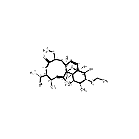 CCN[C@H]1[C@H](C)[C@@H](O)[C@@H]2[C@H]3C=C[C@@H]4C[C@H](OC)C(=O)O[C@H]([C@@H](C)O)[C@H](C)/C=C(\C)[C@@]24O[C@H]31